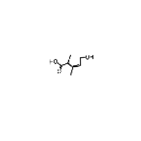 CC(=CCO)C(C)C(=O)O